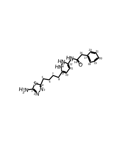 Nc1nnc(CCCCC2=CC=C(NC(=O)Cc3ccccc3)NN2)s1